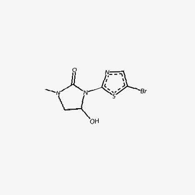 CN1CC(O)N(c2ncc(Br)s2)C1=O